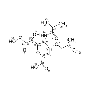 CC(C)CO[C@@H]1C=C(C(=O)O)O[C@@H]([C@H](O)[C@H](O)CO)[C@@H]1NC(=O)C(C)C